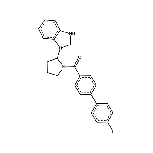 O=C(c1ccc(-c2ccc(F)cc2)cc1)N1CCCC1N1CNc2ccccc21